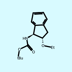 CCO[C@H]1Cc2ccccc2[C@@H]1NC(=O)OC(C)(C)C